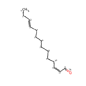 CC/C=C/CCCCCCC/C=C\C=O